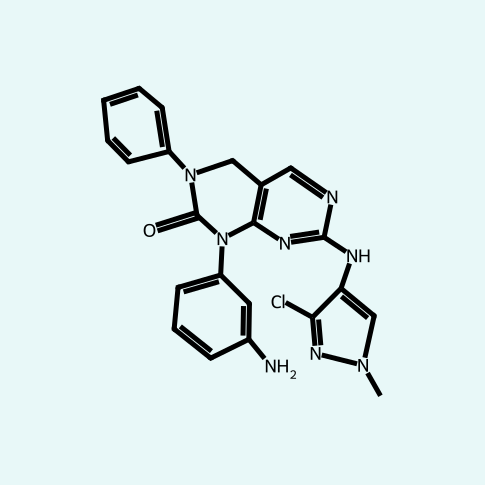 Cn1cc(Nc2ncc3c(n2)N(c2cccc(N)c2)C(=O)N(c2ccccc2)C3)c(Cl)n1